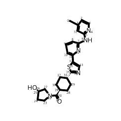 Cc1ccnc(Nc2cccc(-c3cnc([C@H]4CC[C@H](C(=O)N5CC[C@@H](O)C5)CC4)s3)n2)c1